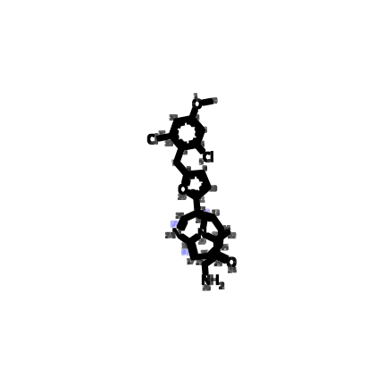 COc1cc(Cl)c(Cc2ccc(C3=C/CCC/C=C(N(C)C(C)C(=O)CN)/N=C\3)o2)c(Cl)c1